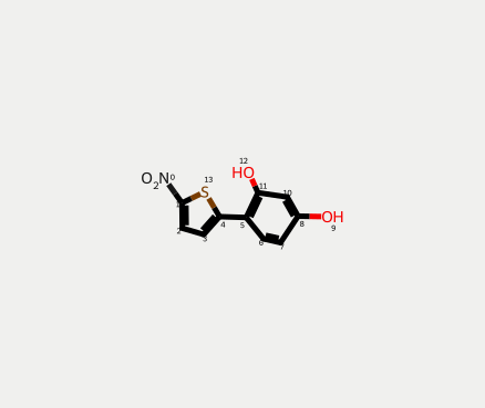 O=[N+]([O-])c1ccc(-c2ccc(O)cc2O)s1